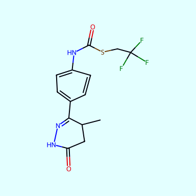 CC1CC(=O)NN=C1c1ccc(NC(=O)SCC(F)(F)F)cc1